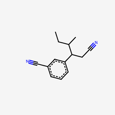 CCC(C)C(CC#N)c1cccc(C#N)c1